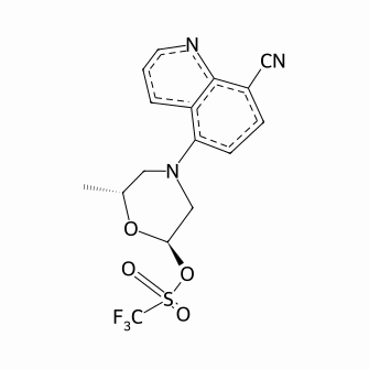 C[C@@H]1CN(c2ccc(C#N)c3ncccc23)C[C@@H](OS(=O)(=O)C(F)(F)F)O1